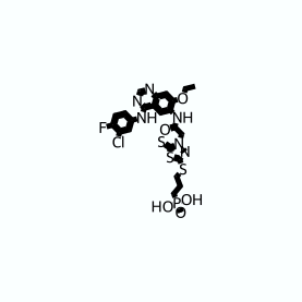 CCOc1cc2ncnc(Nc3ccc(F)c(Cl)c3)c2cc1NC(=O)Cn1nc(SCCCP(=O)(O)O)sc1=S